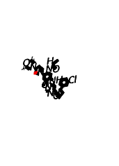 C=CC(=O)Nc1cc(Nc2cc(N3OCCC3c3cccc(Cl)c3)ncn2)c(OC)cc1N1CCC(N2C[C@@H](C)O[C@@H](C)C2)CC1